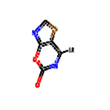 CCc1nc(=O)oc2ncsc12